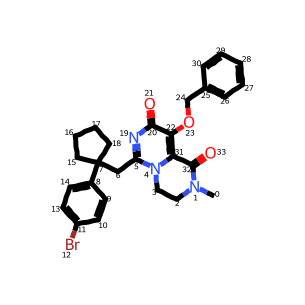 CN1CCn2c(CC3(c4ccc(Br)cc4)CCCC3)nc(=O)c(OCc3ccccc3)c2C1=O